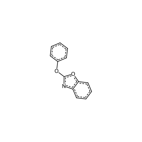 c1ccc(Oc2nc3ccccc3o2)cc1